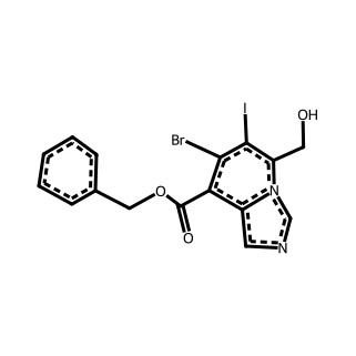 O=C(OCc1ccccc1)c1c(Br)c(I)c(CO)n2cncc12